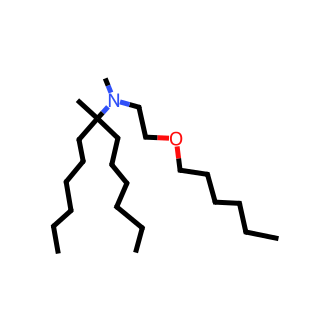 CCCCCCOCCN(C)C(C)(CCCCCC)CCCCCC